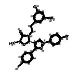 C[C@@H]1O[C@@H](c2cn(-c3ccc(Br)cc3)nc2-c2ccc(F)cc2)N(CCc2cc(N)cc(Cl)c2)C1=O